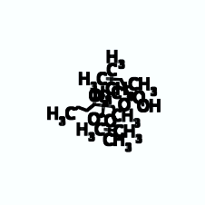 CC(C)(C)CC(C)(C)C(=O)OO.CCCC1OOC1(CC)C(=O)OC(C)(C)C